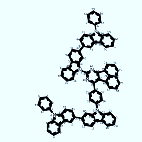 c1ccc(-n2c3ccccc3c3cc(-c4ccc5c6ccccc6n(-c6ccc(-c7nc(-n8c9ccccc9c9ccc(-c%10ccc%11c(c%10)c%10ccccc%10n%11-c%10ccccc%10)cc98)nc8c7-c7cccc9cccc-8c79)cc6)c5c4)ccc32)cc1